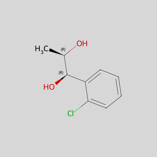 C[C@@H](O)[C@H](O)c1ccccc1Cl